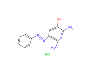 Cl.Nc1nc(N)c(/N=N/c2ccccc2)cc1O